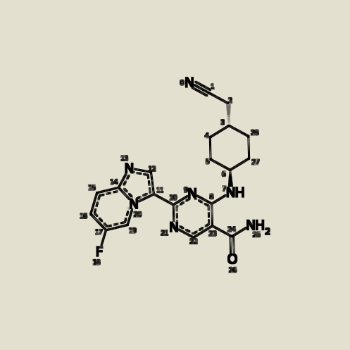 N#CC[C@H]1CC[C@H](Nc2nc(-c3cnc4ccc(F)cn34)ncc2C(N)=O)CC1